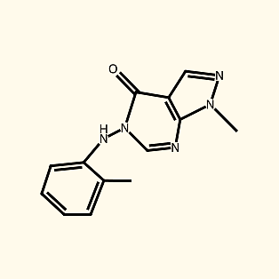 Cc1ccccc1Nn1cnc2c(cnn2C)c1=O